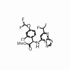 COC(=O)C(Nc1cc(C(F)F)nc2ncnn12)c1ccc(OC(F)F)cc1Cl